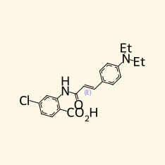 CCN(CC)c1ccc(/C=C/C(=O)Nc2cc(Cl)ccc2C(=O)O)cc1